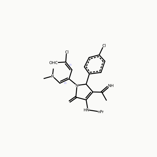 C=C1C(NCCC)=C(C(C)=N)C(c2ccc(Cl)cc2)N1C(/C=C(/Cl)C=O)=C/N(C)C